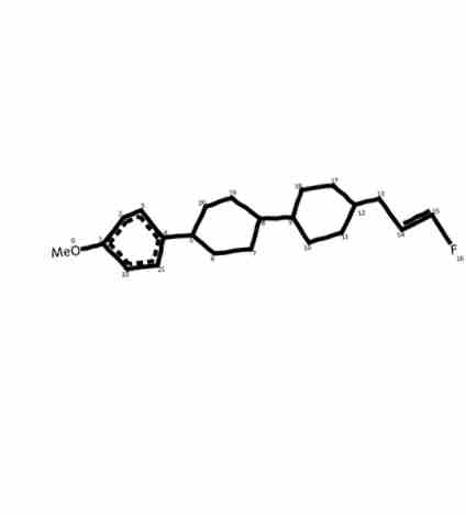 COc1ccc(C2CCC(C3CCC(C/C=C/F)CC3)CC2)cc1